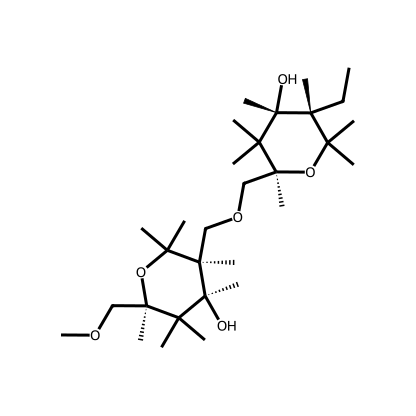 CC[C@]1(C)C(C)(C)O[C@@](C)(COC[C@]2(C)C(C)(C)O[C@](C)(COC)C(C)(C)[C@]2(C)O)C(C)(C)[C@]1(C)O